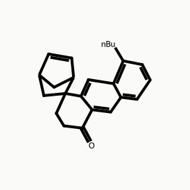 CCCCc1cccc2cc3c(cc12)C1(CCC3=O)CC2C=CC1C2